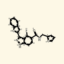 O=C(NCc1ccco1)c1ccc2[nH]nc(-c3cc4ccccc4o3)c2c1F